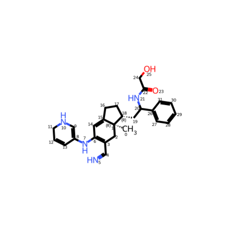 C[C@]12CC(C=N)=C(NC3=CNCC=C3)C=C1CC[C@@H]2CC(NC(=O)CO)c1ccccc1